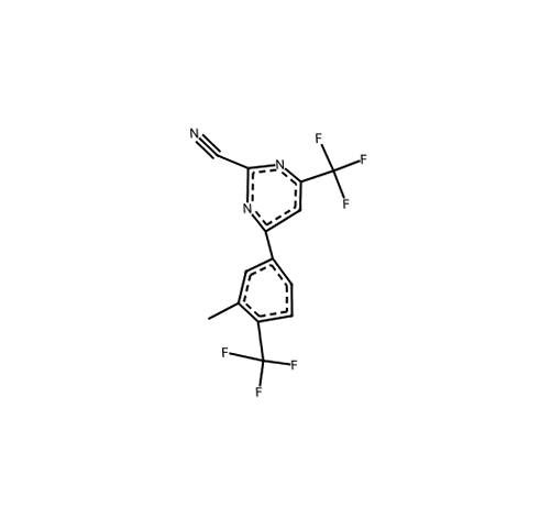 Cc1cc(-c2cc(C(F)(F)F)nc(C#N)n2)ccc1C(F)(F)F